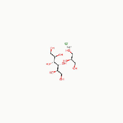 OCC(O)CO.OC[C@@H](O)[C@@H](O)[C@H](O)[C@H](O)CO.[Cl-].[Na+]